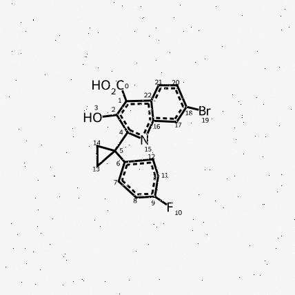 O=C(O)c1c(O)c(C2(c3ccc(F)cc3)CC2)nc2cc(Br)ccc12